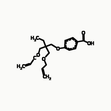 C=CCOCC(CC)(COCC=C)COc1ccc(C(=O)O)cc1